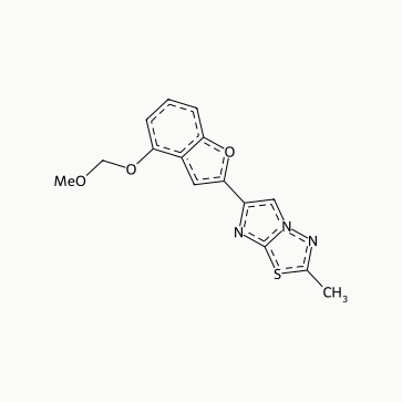 COCOc1cccc2oc(-c3cn4nc(C)sc4n3)cc12